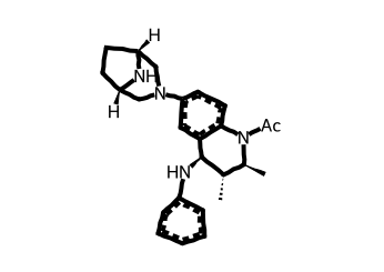 CC(=O)N1c2ccc(N3C[C@H]4CC[C@@H](C3)N4)cc2[C@H](Nc2ccccc2)[C@@H](C)[C@@H]1C